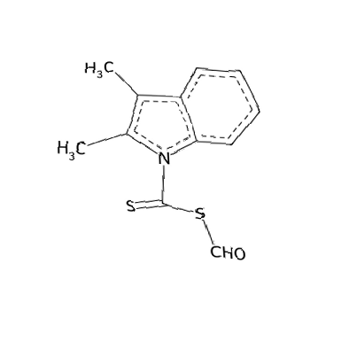 Cc1c(C)n(C(=S)SC=O)c2ccccc12